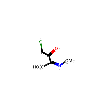 CON=C(C(=O)O)C(=O)CCl